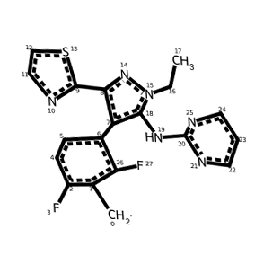 [CH2]c1c(F)ccc(-c2c(-c3nccs3)nn(CC)c2Nc2ncccn2)c1F